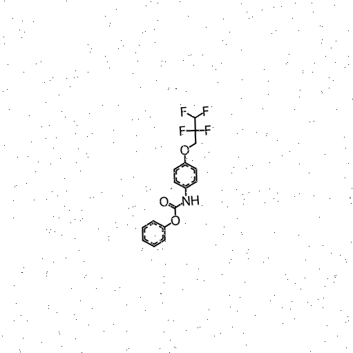 O=C(Nc1ccc(OCC(F)(F)C(F)F)cc1)Oc1ccccc1